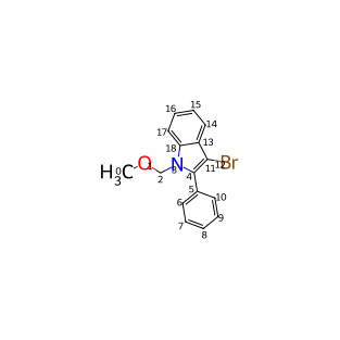 COCn1c(-c2ccccc2)c(Br)c2ccccc21